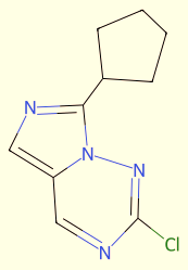 Clc1ncc2cnc(C3CCCC3)n2n1